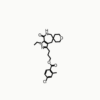 CCn1nc(CCCOC(=O)c2ccc(Cl)cc2C)c2c1C(=O)NCC1(CCOCC1)C2